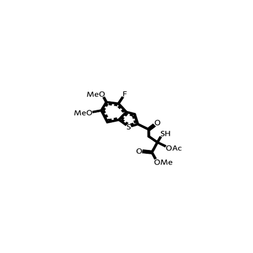 COC(=O)C(S)(CC(=O)c1cc2c(F)c(OC)c(OC)cc2s1)OC(C)=O